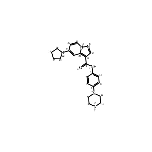 O=C(Nc1ccc(N2CCNCC2)cc1)c1cnn2ccc(N3CCCC3)cc12